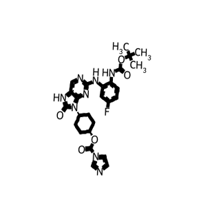 CC(C)(C)OC(=O)Nc1ccc(F)cc1Nc1ncc2[nH]c(=O)n([C@H]3CC[C@H](OC(=O)n4ccnc4)CC3)c2n1